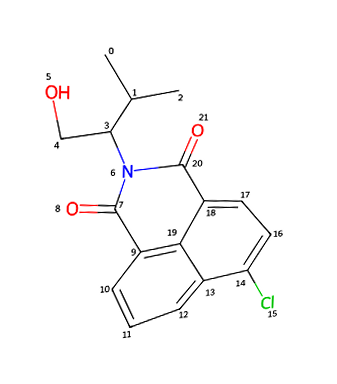 CC(C)C(CO)N1C(=O)c2cccc3c(Cl)ccc(c23)C1=O